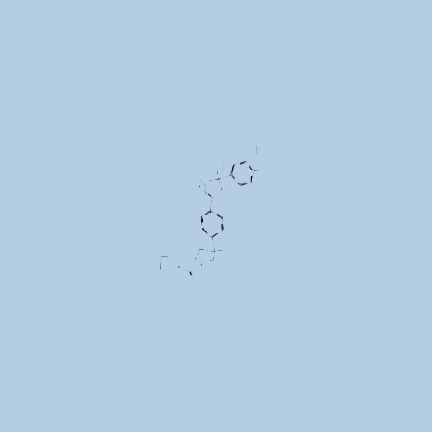 O=C(C1CCCC1)N1CC(F)(c2ccc(C3=NOC(c4cc(Cl)c(Cl)c(C(F)(F)F)c4)(C(F)(F)F)C3)cc2)C1